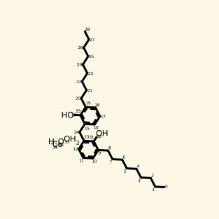 CCCCCCCCCc1cccc(Cc2cccc(CCCCCCCCC)c2O)c1O.O.O.[Co]